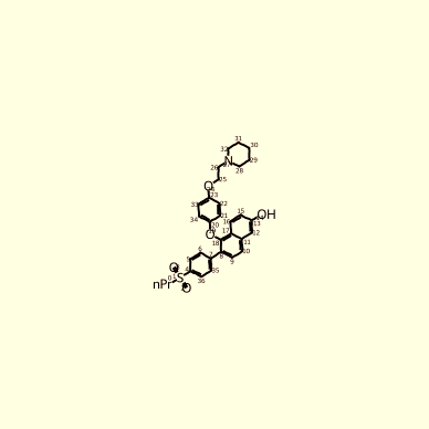 CCCS(=O)(=O)c1ccc(-c2ccc3cc(O)ccc3c2Oc2ccc(OCCN3CCCCC3)cc2)cc1